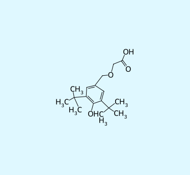 CC(C)(C)c1cc(COCC(=O)O)cc(C(C)(C)C)c1O